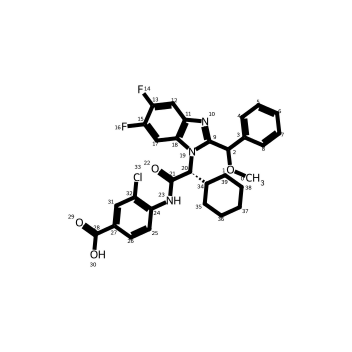 COC(c1ccccc1)c1nc2cc(F)c(F)cc2n1[C@@H](C(=O)Nc1ccc(C(=O)O)cc1Cl)C1CCCCC1